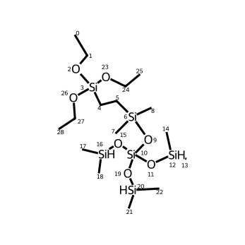 CCO[Si](CC[Si](C)(C)O[Si](O[SiH](C)C)(O[SiH](C)C)O[SiH](C)C)(OCC)OCC